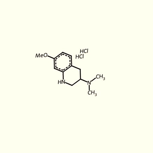 COc1ccc2c(c1)NCC(N(C)C)C2.Cl.Cl